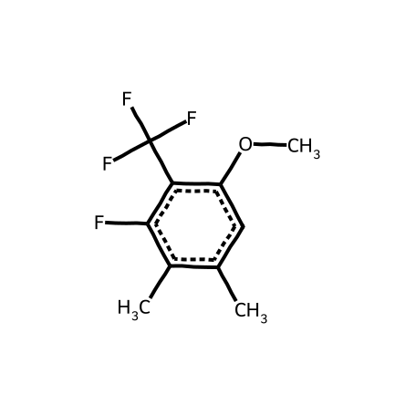 COc1cc(C)c(C)c(F)c1C(F)(F)F